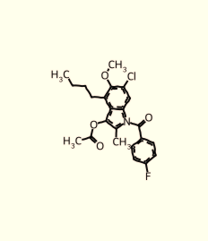 CCCCc1c(OC)c(Cl)cc2c1c(OC(C)=O)c(C)n2C(=O)c1ccc(F)cc1